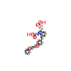 O=C(O)CCCc1cn(CCC(=O)O)c2c(/C=C/c3ccc(OC/C=C/COc4ccccc4)cc3)cccc12